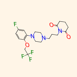 O=C1CCCC(=O)N1CCCN1CCN(c2cc(F)ccc2OCC(F)(F)F)CC1